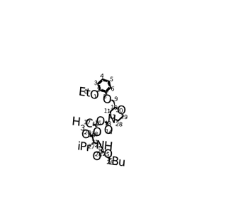 CCOc1ccccc1OC[C@@H]1CN(C(=O)OC(C)OC(=O)[C@H](NC(=O)OC(C)(C)C)C(C)C)CCO1